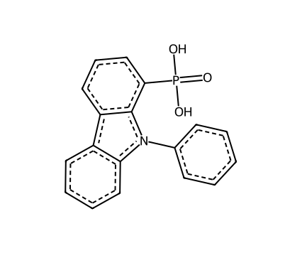 O=P(O)(O)c1cccc2c3ccccc3n(-c3ccccc3)c12